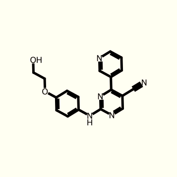 N#Cc1cnc(Nc2ccc(OCCO)cc2)nc1-c1cccnc1